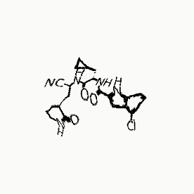 N#C[C@H](C[C@@H]1CCCNC1=O)NC(=O)[C@H](CC1CC1)NC(=O)c1cc2c(Cl)cccc2[nH]1